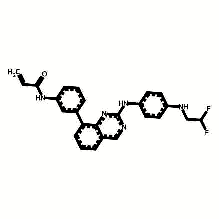 C=CC(=O)Nc1cccc(-c2cccc3cnc(Nc4ccc(NCC(F)F)cc4)nc23)c1